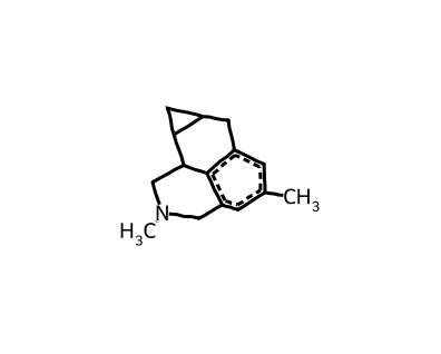 Cc1cc2c3c(c1)CN(C)CC3C1CC1C2